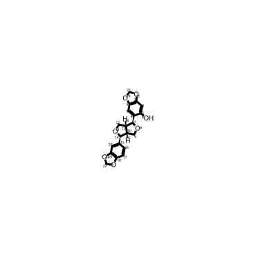 Oc1cc2c(cc1[C@H]1OC[C@H]3[C@@H]1CO[C@@H]3c1ccc3c(c1)OCO3)OCO2